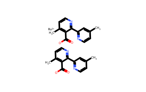 Cc1ccnc(-c2nccc(C)c2C(=O)[O-])c1.Cc1ccnc(-c2nccc(C)c2C(=O)[O-])c1.[Ru+2]